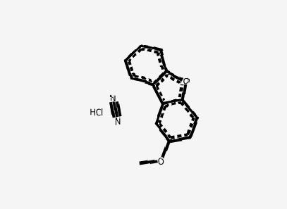 COc1ccc2oc3ccccc3c2c1.Cl.N#N